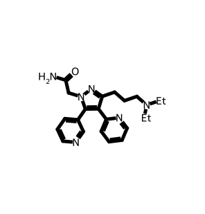 CCN(CC)CCCc1nn(CC(N)=O)c(-c2cccnc2)c1-c1ccccn1